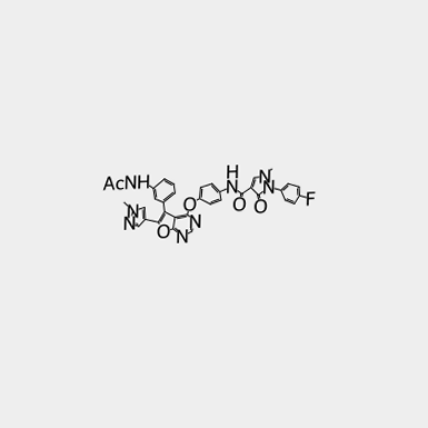 CC(=O)Nc1cccc(-c2c(-c3cnn(C)c3)oc3ncnc(Oc4ccc(NC(=O)c5cn(C)n(-c6ccc(F)cc6)c5=O)cc4)c23)c1